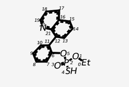 CCOP(=O)(S)Oc1ccccc1-c1cccc2cccnc12